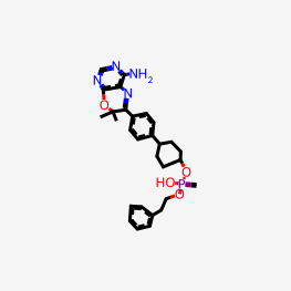 C=P(O)(OCCc1ccccc1)OC1CCC(c2ccc(C3=Nc4c(N)ncnc4OC3(C)C)cc2)CC1